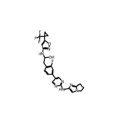 OC(Cc1ccc(-c2cnc(Nc3cn4c(n3)CCC4)nc2)cc1F)Nc1cc(C2(C(F)(F)F)CC2)on1